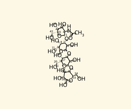 CC(=O)N[C@H]1[C@H](O[C@H]2[C@@H](O)[C@@H](CO)O[C@H](O[C@H]3[C@@H](O)[C@@H](CO)O[C@@H](O[C@H]4[C@H](O)[C@@H](O)[C@H](O)O[C@@H]4CO)[C@@H]3O)[C@@H]2O)O[C@H](CO)[C@H](O)[C@@H]1O